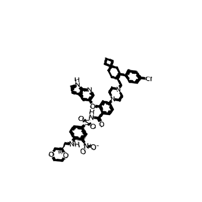 O=C(NS(=O)(=O)c1ccc(NC[C@@H]2COCCO2)c([N+](=O)[O-])c1)c1ccc(N2CCN(CC3=C(c4ccc(Cl)cc4)CC4(CCC4)CC3)CC2)cc1Oc1cnc2[nH]ccc2c1